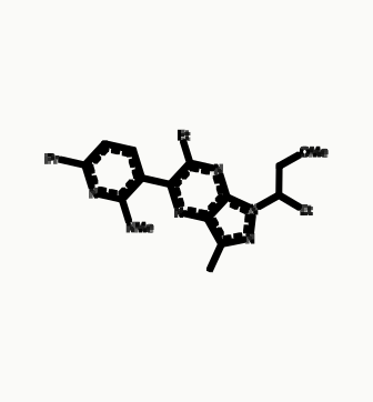 CCc1nc2c(nc1-c1ccc(C(C)C)nc1NC)c(C)nn2C(CC)COC